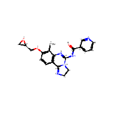 COc1c(OC[C@H]2CO2)ccc2c1N=C(NC(=O)c1cccnc1)N1CCN=C21